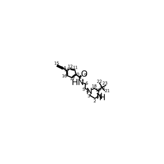 [2H]N1CCN(CCNC(=O)c2ccc(C#C)cc2)CC1C(C)(C)C